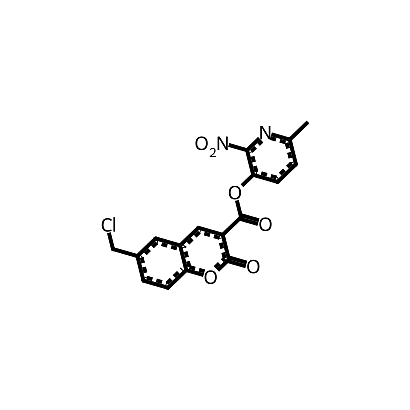 Cc1ccc(OC(=O)c2cc3cc(CCl)ccc3oc2=O)c([N+](=O)[O-])n1